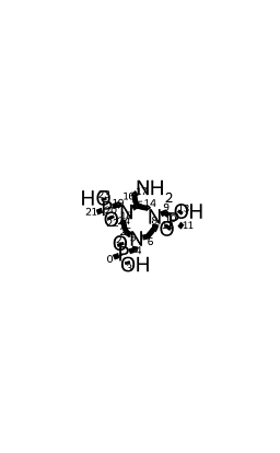 CP(=O)(O)CN1CCN(CP(C)(=O)O)CC(CN)N(CP(C)(=O)O)CC1